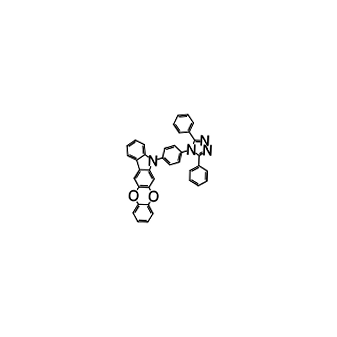 c1ccc(-c2nnc(-c3ccccc3)n2-c2ccc(-n3c4ccccc4c4cc5c(cc43)Oc3ccccc3O5)cc2)cc1